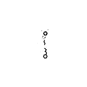 COc1ccc(S(=O)(=O)NCCCCNC(=O)C(O)[C@H](N)CC2CCCCC2)cc1OC.Cl